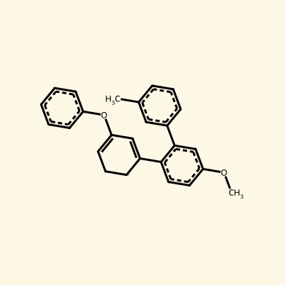 COc1ccc(C2=CC(Oc3ccccc3)=CC[CH]2)c(-c2cccc(C)c2)c1